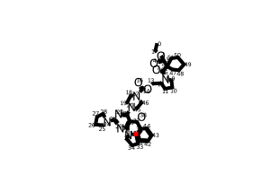 CCOC(=O)C1(C(=O)N2CCCC2COC(=O)N2CCN(c3nc(N4CCCC4)nc(N4CCCC4)c3C(=O)c3ccccc3)CC2)CCCCC1